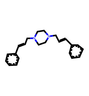 C(=Cc1ccccc1)CN1CCN(CC=Cc2ccccc2)CC1